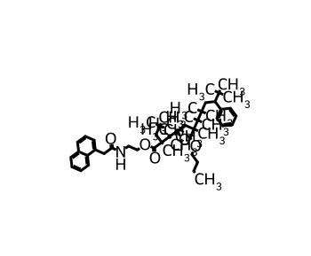 CCCCOC(=O)C(C)(CC(C)(C)C(C)(C)C(C)(CC(C)(C)C)C(=O)OCCNC(=O)Cc1cccc2ccccc12)C(C)(C)C(C)(C)CC(c1ccccc1)C(C)(C)C